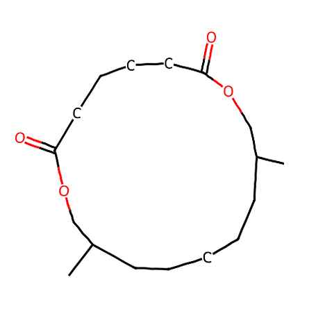 CC1CCCCCC(C)COC(=O)CCCCC(=O)OC1